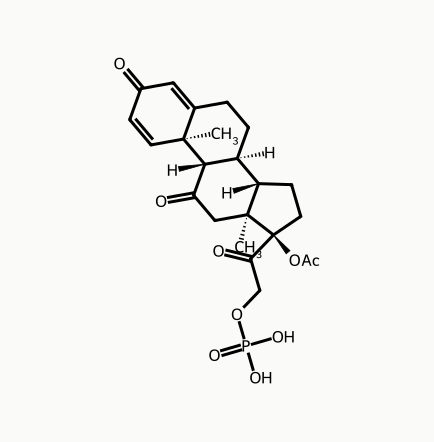 CC(=O)O[C@]1(C(=O)COP(=O)(O)O)CC[C@H]2[C@@H]3CCC4=CC(=O)C=C[C@]4(C)[C@H]3C(=O)C[C@@]21C